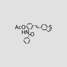 CC(=O)Oc1ccc(/C=C/c2ccc3sccc3c2)cc1NC(=O)c1ccccc1